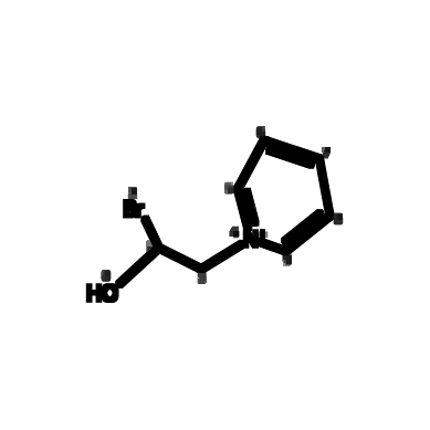 OC(Br)C[n+]1ccccc1